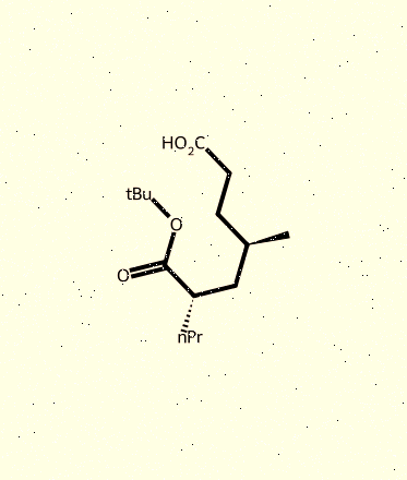 CCC[C@@H](C[C@H](C)CCC(=O)O)C(=O)OC(C)(C)C